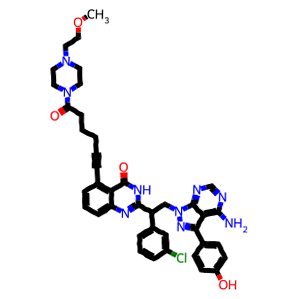 COCCN1CCN(C(=O)CCCC#Cc2cccc3nc(C(Cn4nc(-c5ccc(O)cc5)c5c(N)ncnc54)c4cccc(Cl)c4)[nH]c(=O)c23)CC1